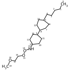 CCCCCC1CCC(C2CCC(NOOCCOC)CC2)CC1